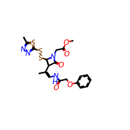 COC(=O)CN1C(=O)C(C(C)=CNC(=O)COc2ccccc2)C1SSc1nnc(C)s1